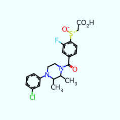 CC1C(C)N(c2cccc(Cl)c2)CCN1C(=O)c1ccc([S+]([O-])CC(=O)O)c(F)c1